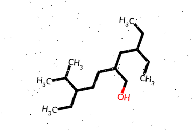 CCC(CC)CC(CO)CCC(CC)C(C)C